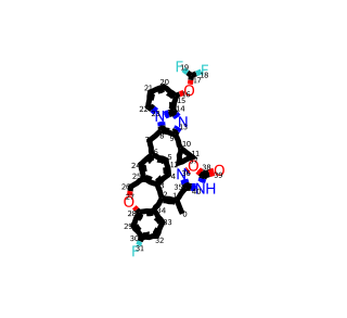 CC(=C1c2ccc(Cc3c(C4CC4)nc4c(OC(F)F)cccn34)cc2COc2cc(F)ccc21)c1noc(=O)[nH]1